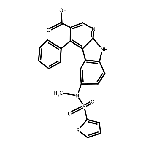 CN(c1ccc2[nH]c3ncc(C(=O)O)c(-c4ccccc4)c3c2c1)S(=O)(=O)c1cccs1